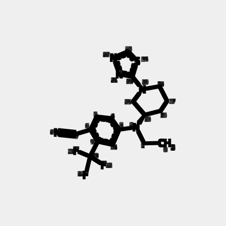 CCN(c1ccc(C#N)c(C(F)(F)F)c1)[C@@H]1CCCN(c2nncs2)C1